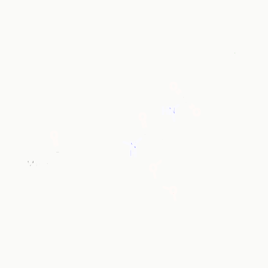 COC(=O)CCCCNC(=O)C(CNS(=O)(=O)c1ccc(Cl)cc1)COC1CCCCO1